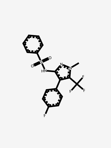 Cn1nc(NS(=O)(=O)c2ccccc2)c(-c2ccc(F)cc2)c1C(F)(F)F